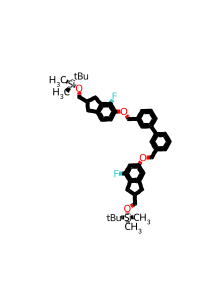 CC(C)(C)[Si](C)(C)OCC1Cc2cc(OCc3cccc(-c4cccc(COc5ccc6c(c5F)CC(CO[Si](C)(C)C(C)(C)C)C6)c4)c3)cc(F)c2C1